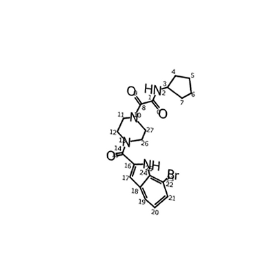 O=C(NC1CCCC1)C(=O)N1CCN(C(=O)c2cc3cccc(Br)c3[nH]2)CC1